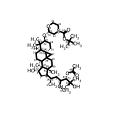 COC(C[C@@H](C)[C@H]1C[C@H](O)[C@@]2(C)C3CC[C@H]4C(C)(C)[C@@H](O[C@H]5CN(C(=O)OC(C)(C)C)CCO5)CC[C@@]45CC35CC[C@]12C)[C@H](OC(C)=O)C(C)(C)O